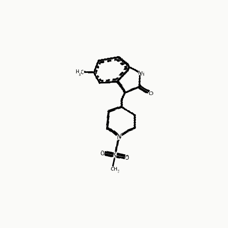 Cc1ccc2c(c1)C(C1CCN(S(C)(=O)=O)CC1)C(=O)N2